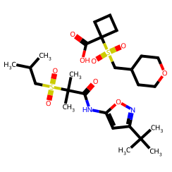 CC(C)CS(=O)(=O)C(C)(C)C(=O)Nc1cc(C(C)(C)C)no1.O=C(O)C1(S(=O)(=O)CC2CCOCC2)CCC1